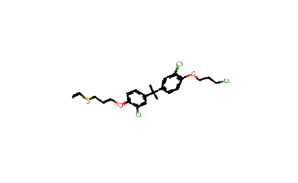 CCSCCCOc1ccc(C(C)(C)c2ccc(OCCCCl)c(Cl)c2)cc1Cl